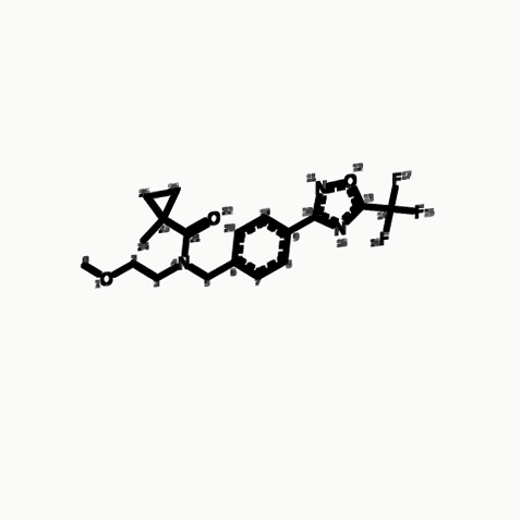 COCCN(Cc1ccc(-c2noc(C(F)(F)F)n2)cc1)C(=O)C1(C)CC1